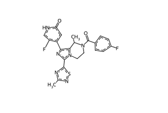 Cc1nsc(-c2nc(-c3cc(=O)[nH]cc3F)c3n2CCN(C(=O)c2ccc(F)cc2)C3C)n1